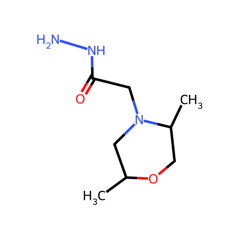 CC1CN(CC(=O)NN)C(C)CO1